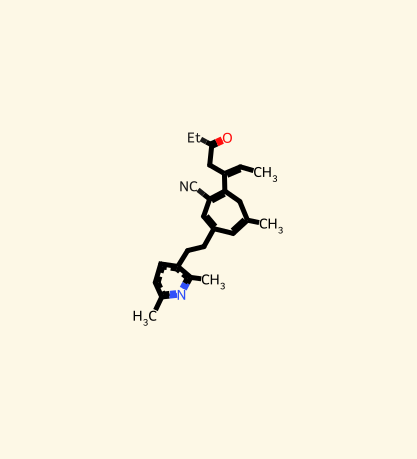 C/C=C(/CC(=O)CC)C1=C(C#N)C=C(CCc2ccc(C)nc2C)C=C(C)C1